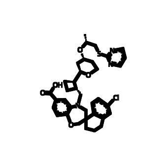 C[C@H](CSc1ncccn1)O[C@@H]1CCO[C@@H]([C@@H]2CC[C@H]2CN2CC3(CCCc4cc(Cl)ccc43)COc3ccc(C(=O)O)cc32)C1